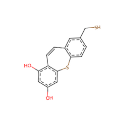 Oc1cc(O)c2c(c1)Sc1ccc(CS)cc1C=C2